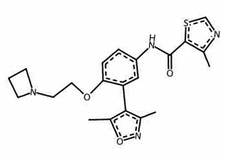 Cc1ncsc1C(=O)Nc1ccc(OCCN2CCC2)c(-c2c(C)noc2C)c1